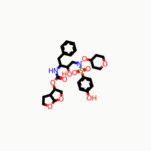 O=C(NC(Cc1ccccc1)C(O)CN(OC1CCOCC1)S(=O)(=O)c1ccc(O)cc1)OC1COC2OCCC12